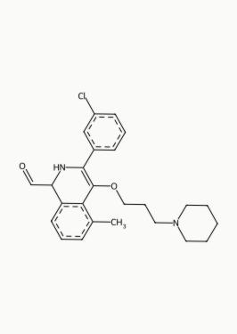 Cc1cccc2c1C(OCCCN1CCCCC1)=C(c1cccc(Cl)c1)NC2C=O